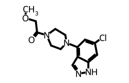 COCC(=O)N1CCN(c2cc(Cl)cc3[nH]ncc23)CC1